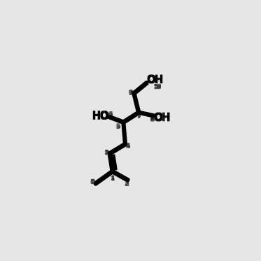 CC(C)=CCC(O)C(O)CO